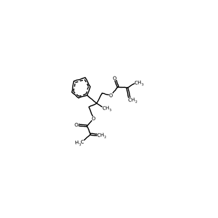 C=C(C)C(=O)OCC(C)(COC(=O)C(=C)C)c1ccccc1